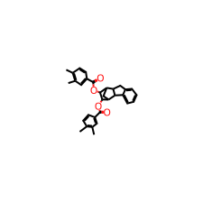 Cc1ccc(C(=O)OC2C3CC(C2OC(=O)c2ccc(C)c(C)c2)C2c4ccccc4CC32)cc1C